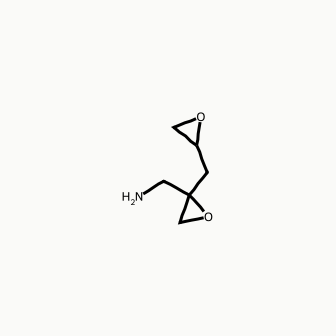 NCC1(CC2CO2)CO1